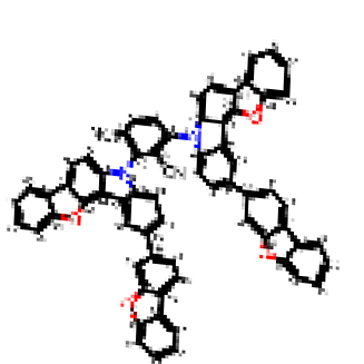 N#Cc1ccc(-n2c3ccc(-c4ccc5c(c4)oc4ccccc45)cc3c3c4oc5ccccc5c4ccc32)c(C#N)c1-n1c2ccc(-c3ccc4c(c3)oc3ccccc34)cc2c2c3oc4ccccc4c3ccc21